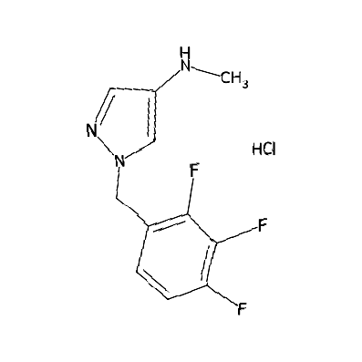 CNc1cnn(Cc2ccc(F)c(F)c2F)c1.Cl